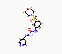 O=C(NCc1ccncc1)Nc1cccc(S(=O)(=O)N2CCOCC2)c1